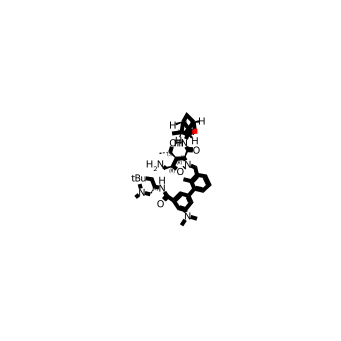 Cc1c(CN2O[C@@H](CN)[C@@H]([C@H](C)O)[C@H]2C(=O)N[C@H]2C[C@H]3C[C@@H]([C@@H]2C)C3(C)C)cccc1-c1cc(C(=O)N[C@H](CN(C)C)CC(C)(C)C)cc(N(C)C)c1